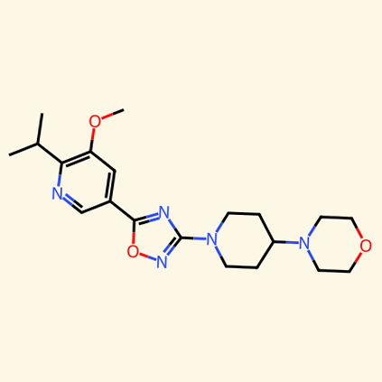 COc1cc(-c2nc(N3CCC(N4CCOCC4)CC3)no2)cnc1C(C)C